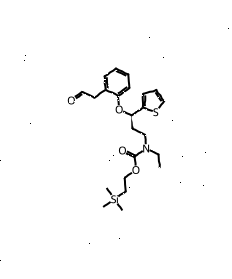 CCN(CC[C@@H](Oc1ccccc1CC=O)c1cccs1)C(=O)OCC[Si](C)(C)C